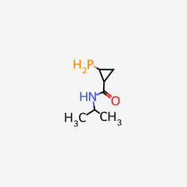 CC(C)NC(=O)C1CC1P